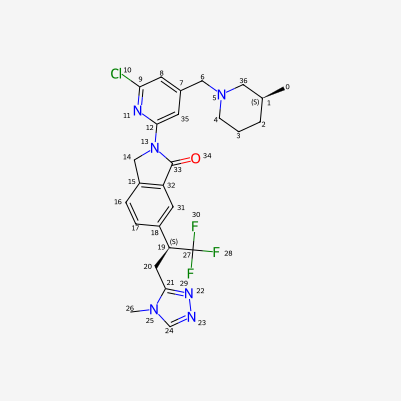 C[C@H]1CCCN(Cc2cc(Cl)nc(N3Cc4ccc([C@H](Cc5nncn5C)C(F)(F)F)cc4C3=O)c2)C1